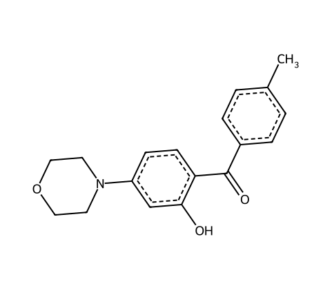 Cc1ccc(C(=O)c2ccc(N3CCOCC3)cc2O)cc1